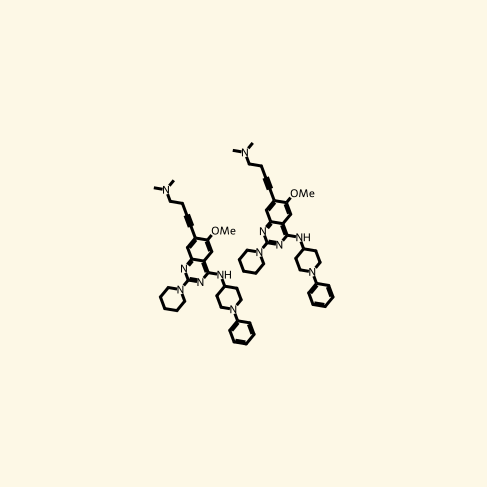 COc1cc2c(NC3CCN(c4ccccc4)CC3)nc(N3CCCCC3)nc2cc1C#CCCN(C)C.COc1cc2c(NC3CCN(c4ccccc4)CC3)nc(N3CCCCC3)nc2cc1C#CCCN(C)C